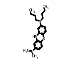 CCCCN(CCCC)c1ccc2c(c1)Nc1cc(N(C)C)ccc1S2